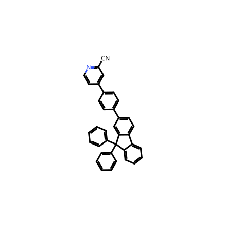 N#Cc1cc(-c2ccc(-c3ccc4c(c3)C(c3ccccc3)(c3ccccc3)c3ccccc3-4)cc2)ccn1